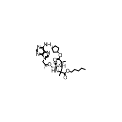 CCCCCOC(=O)C(C)(C)N[P@](=O)(CO[C@H](C)Cn1cnc2c(N)ncnc21)N[C@H](C)C(=O)OC1CCCC1